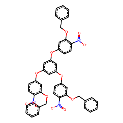 O=[N+]([O-])c1ccc(Oc2cc(Oc3ccc([N+](=O)[O-])c(OCc4ccccc4)c3)cc(Oc3ccc([N+](=O)[O-])c(OCc4ccccc4)c3)c2)cc1OCc1ccccc1